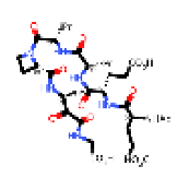 CCC[C@H](NC(=O)[C@@H]1CCN1C(=O)[C@@H](NC(=O)[C@@H](NC(=O)[C@H](CCC(=O)O)NC(=O)[C@H](CCC(=O)O)NC(C)=O)C(C)C)C(C)C)C(=O)C(=O)NCC(=O)O